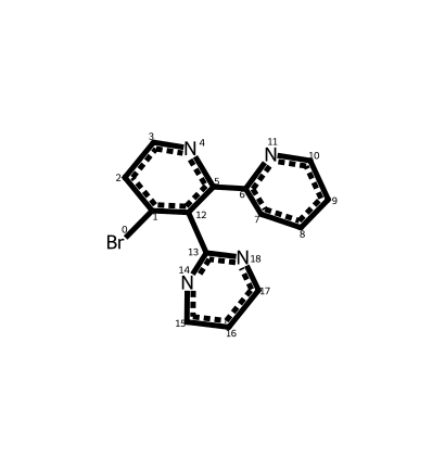 Brc1ccnc(-c2ccccn2)c1-c1ncccn1